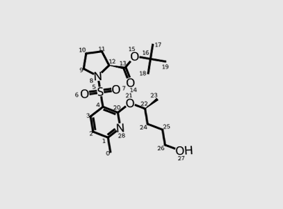 Cc1ccc(S(=O)(=O)N2CCC[C@H]2C(=O)OC(C)(C)C)c(O[C@@H](C)CCCO)n1